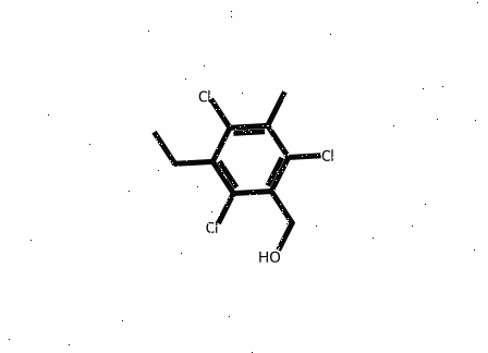 CCc1c(Cl)c(C)c(Cl)c(CO)c1Cl